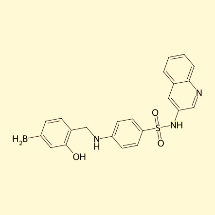 Bc1ccc(CNc2ccc(S(=O)(=O)Nc3cnc4ccccc4c3)cc2)c(O)c1